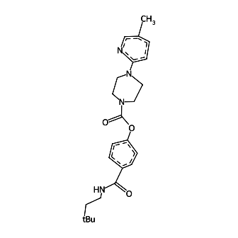 Cc1ccc(N2CCN(C(=O)Oc3ccc(C(=O)NCCC(C)(C)C)cc3)CC2)nc1